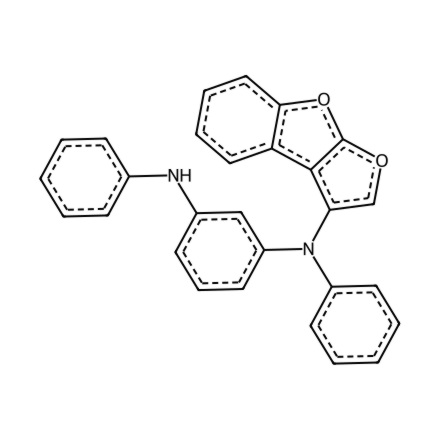 c1ccc(Nc2cccc(N(c3ccccc3)c3coc4oc5ccccc5c34)c2)cc1